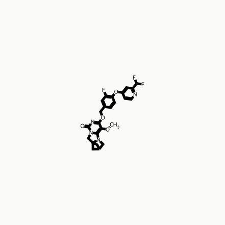 COc1c(OCc2ccc(Oc3ccnc(C(F)F)c3)c(F)c2)nc(=O)n2c1N1CC3CC1(C3)C2